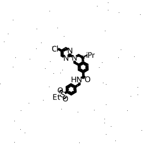 CCS(=O)(=O)c1ccc(CNC(=O)c2ccc3c(c2)CN(c2ncc(Cl)cn2)C[C@H]3C(C)C)cc1